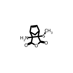 CSC12C(=O)OC(=O)C1(N)C1C=CC2C1